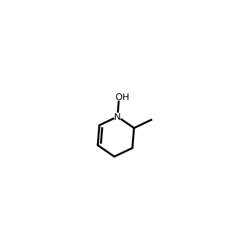 CC1CCC=CN1O